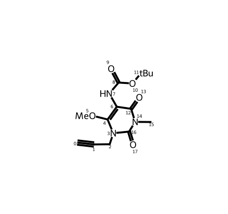 C#CCn1c(OC)c(NC(=O)OC(C)(C)C)c(=O)n(C)c1=O